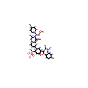 CNC(=O)c1c(-c2ccc(F)cc2)oc2cc(N(C)S(C)(=O)=O)c(-c3ccc4nc(C)n([C@H](COC)c5ccc(C)cc5)c(=O)c4n3)cc12